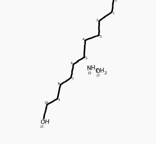 CCCCCCCCCCCO.N.O